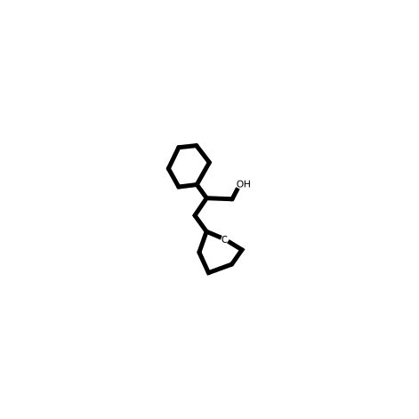 OCC(CC1CCCCC1)C1CCCCC1